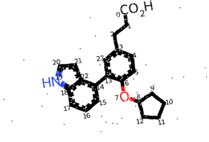 O=C(O)CCc1ccc(OC2CCCC2)c(-c2cccc3[nH]ccc23)c1